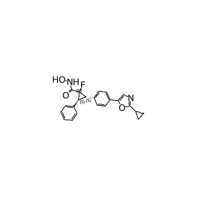 O=C(NO)[C@@]1(F)[C@H](c2ccccc2)[C@H]1c1ccc(-c2cnc(C3CC3)o2)cc1